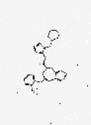 Cc1ccccc1CN1Cc2ccccc2C[C@H](NCc2cncn2CC2CCCCC2)C1